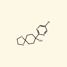 OC1(c2ncc(Br)cn2)CCC2(CC1)OCCO2